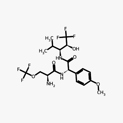 COc1ccc([C@H](NC(=O)[C@@H](N)COC(F)(F)F)C(=O)N[C@@H](C(C)C)[C@H](O)C(F)(F)F)cc1